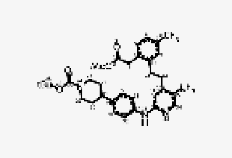 COC(=O)Cc1ccc(C(F)(F)F)cc1CCc1nc(Nc2ccc(C3CCN(C(=O)OC(C)(C)C)CC3)cc2)ncc1C(F)(F)F